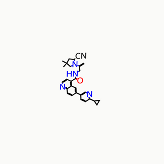 C=C(CNC(=O)c1ccnc2ccc(-c3ccc(C4CC4)nc3)cc12)N1CC(C)(C)CC1C#N